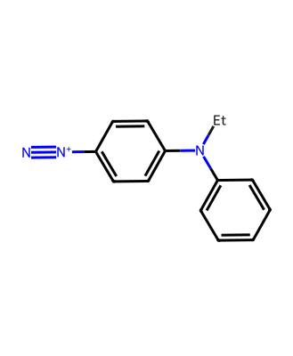 CCN(c1ccccc1)c1ccc([N+]#N)cc1